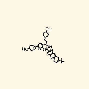 CC(C)(C)[C@H]1CCc2nc3sc(C(=O)NC(CCN4CCC(O)CC4)c4ccc(N5CCC(O)CC5)nc4)nc3cc2C1